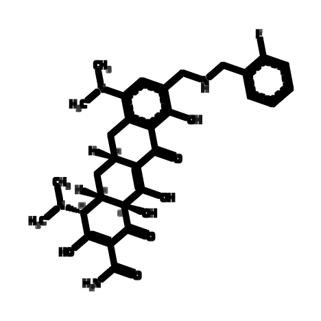 CN(C)c1cc(CNCc2ccccc2F)c(O)c2c1C[C@H]1C[C@H]3[C@@H](N(C)C)C(O)=C(C(N)=O)C(=O)[C@@]3(O)C(O)=C1C2=O